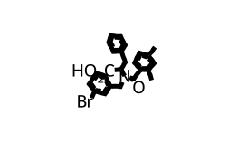 Cc1ccc(C(=O)N(Cc2cccc(Br)c2)C(Cc2ccccc2)C(=O)O)c(C)c1